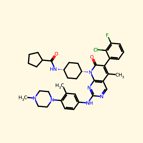 Cc1cc(Nc2ncc3c(C)c(-c4cccc(F)c4Cl)c(=O)n([C@H]4CC[C@@H](NC(=O)C5CCCC5)CC4)c3n2)ccc1N1CCN(C)CC1